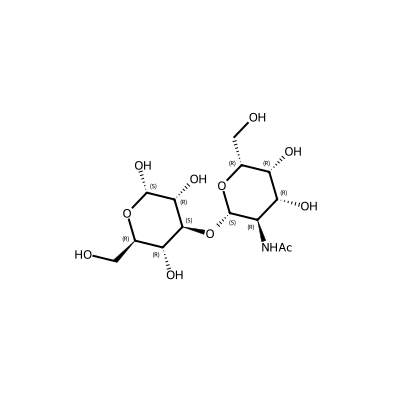 CC(=O)N[C@H]1[C@H](O[C@@H]2[C@@H](O)[C@@H](O)O[C@H](CO)[C@H]2O)O[C@H](CO)[C@H](O)[C@@H]1O